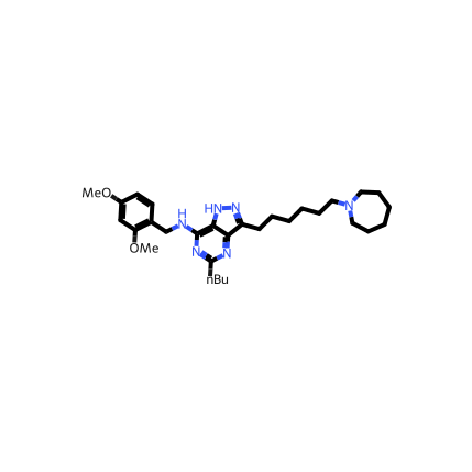 CCCCc1nc(NCc2ccc(OC)cc2OC)c2[nH]nc(CCCCCCN3CCCCCC3)c2n1